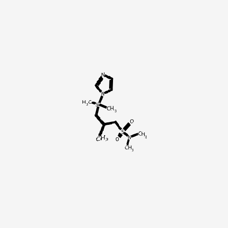 CC(C[Si](C)(C)n1ccnc1)CS(=O)(=O)N(C)C